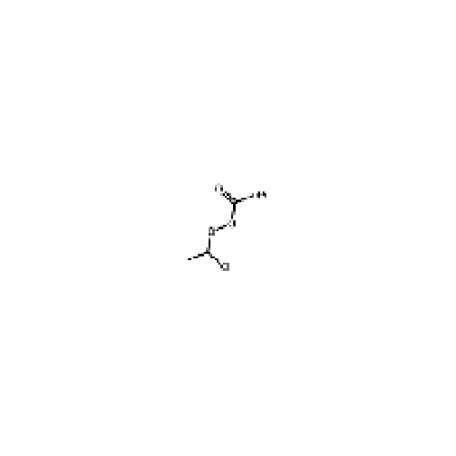 CCCC(=O)OOC(C)Cl